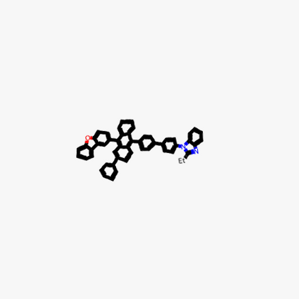 CCc1nc2ccccc2n1-c1ccc(-c2ccc(-c3c4ccccc4c(-c4ccc5oc6ccccc6c5c4)c4cc(-c5ccccc5)ccc34)cc2)cc1